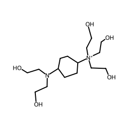 OCCN(CCO)C1CCC([N+](CCO)(CCO)CCO)CC1